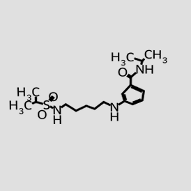 CC(C)NC(=O)c1cccc(NCCCCCNS(=O)(=O)C(C)C)c1